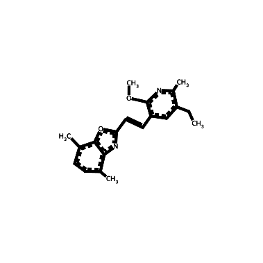 CCc1cc(C=Cc2nc3c(C)ccc(C)c3o2)c(OC)nc1C